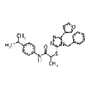 CC(Sc1nnc(-c2ccoc2)n1Cc1ccccc1)C(=O)Nc1ccc(C(C)C)cc1